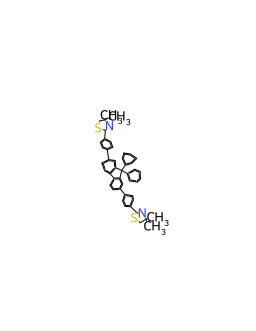 CC1(C)CSC(c2ccc(-c3ccc4c(c3)C(c3ccccc3)(c3ccccc3)c3cc(-c5ccc(C6=NC(C)(C)CS6)cc5)ccc3-4)cc2)=N1